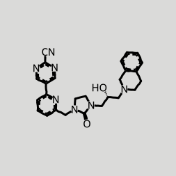 N#Cc1ncc(-c2cccc(CN3CCN(C[C@H](O)CN4CCc5ccccc5C4)C3=O)n2)cn1